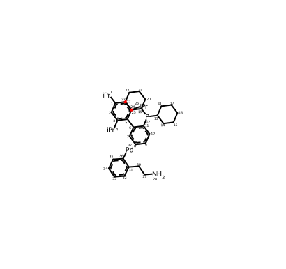 CC(C)c1cc(C(C)C)c(-c2ccccc2P(C2CCCCC2)C2CCCCC2)c(C(C)C)c1.NCCc1cccc[c]1[Pd]